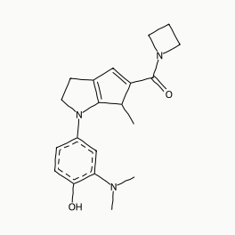 CC1C(C(=O)N2CCC2)=CC2=C1N(c1ccc(O)c(N(C)C)c1)CC2